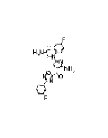 C[C@H](C(N)=O)N(c1ccc(F)cc1)c1nc(N)c(C(=O)c2nc(-c3cccc(F)c3)no2)s1